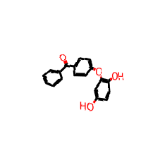 O=C(c1ccccc1)c1ccc(Oc2cc(O)ccc2O)cc1